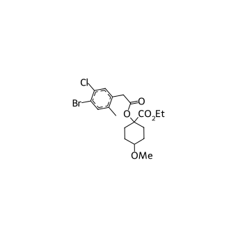 CCOC(=O)C1(OC(=O)Cc2cc(Cl)c(Br)cc2C)CCC(OC)CC1